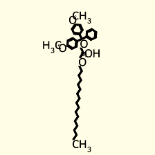 CCCCCCCCCCCCCCCCCCOC[C@H](O)COC(c1ccccc1)(c1ccc(OC)cc1)c1ccc(OC)cc1